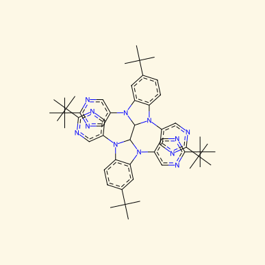 CC(C)(C)c1ccc2c(c1)N(c1cnc(C(C)(C)C)nc1)C(C1N(c3cnc(C(C)(C)C)nc3)c3ccc(C(C)(C)C)cc3N1c1cnc(C(C)(C)C)nc1)N2c1cnc(C(C)(C)C)nc1